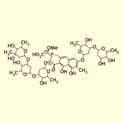 CO[C@H](C(=O)O)[C@@H]1Cc2cc3cc(OC4CC(OC5CC(O)C(O)C(C)O5)C(O)C(C)O4)c(C)c(O)c3c(O)c2C(=O)[C@H]1OC1CC(OC2CC(OC3CC(C)(O)C(O)C(C)O3)C(O)C(C)O2)C(O)C(C)O1